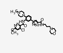 COc1cc(Cl)c(C(=O)Nc2cc(-n3cc(C(=O)NCCCN4CCOCC4)nn3)ccc2N2CCN(C)CC2)nn1